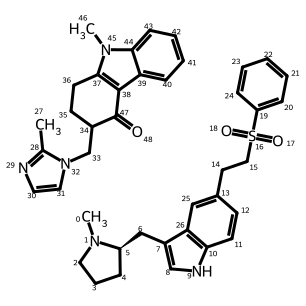 CN1CCC[C@@H]1Cc1c[nH]c2ccc(CCS(=O)(=O)c3ccccc3)cc12.Cc1nccn1CC1CCc2c(c3ccccc3n2C)C1=O